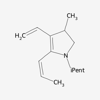 C=CC1=C(/C=C\C)N(C(C)CCC)CC1C